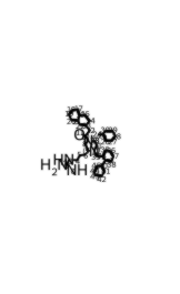 N=C(N)NCCC[C@H]1CN(C(=O)Cc2ccc3ccccc3c2)[C@H](Cc2ccccc2)CN1Cc1ccccc1-c1ccccc1